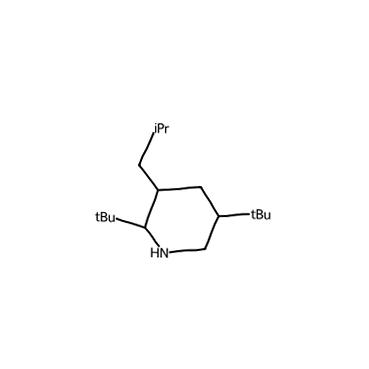 CC(C)CC1CC(C(C)(C)C)CNC1C(C)(C)C